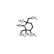 CCC1(C)CCC(C)C(C)(CC)N1O